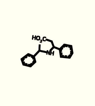 CC(NC(CC(=O)O)c1ccccc1)c1ccccc1